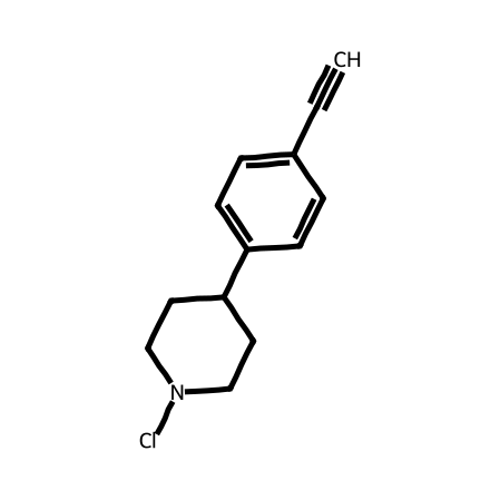 C#Cc1ccc(C2CCN(Cl)CC2)cc1